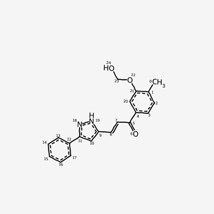 Cc1ccc(C(=O)/C=C/c2cc(-c3ccccc3)n[nH]2)cc1OCO